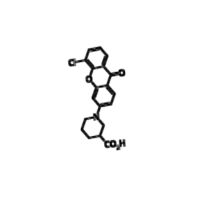 O=C(O)C1CCCN(c2ccc3c(=O)c4cccc(Cl)c4oc3c2)C1